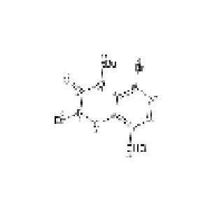 CCN(Oc1cc(Br)ccc1C=O)C(=O)OC(C)(C)C